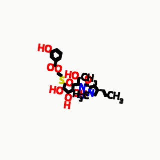 CCC[C@@H]1C[C@@H](C(=O)N[C@@H]([C@H]2O[C@H](SCCOC(=O)c3cccc(O)c3)[C@H](O)[C@@H](O)[C@H]2O)[C@@H](C)O)N(C)C1